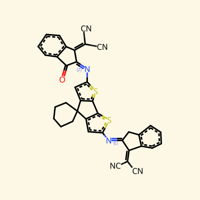 N#CC(C#N)=C1/C(=N/c2cc3c(s2)-c2sc(/N=C4\C(=O)c5ccccc5C4=C(C#N)C#N)cc2C32CCCCC2)Cc2ccccc21